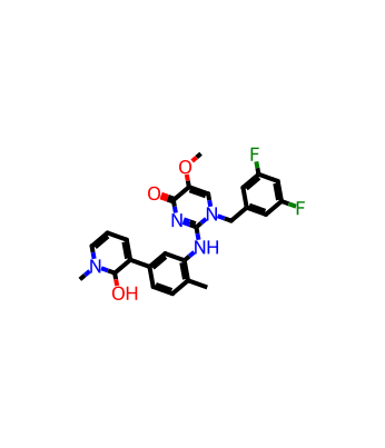 COc1cn(Cc2cc(F)cc(F)c2)c(Nc2cc(C3=CC=CN(C)C3O)ccc2C)nc1=O